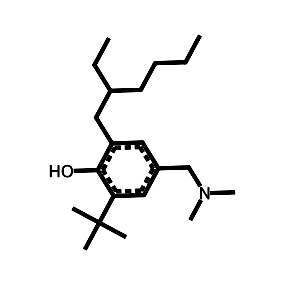 CCCCC(CC)Cc1cc(CN(C)C)cc(C(C)(C)C)c1O